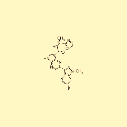 C[C@H](NC(=O)c1c[nH]c2ncc(-c3nn(C)c4cc(F)ccc34)nc12)c1ncco1